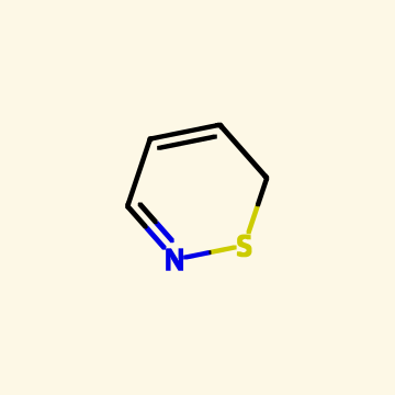 C1=CCSN=C1